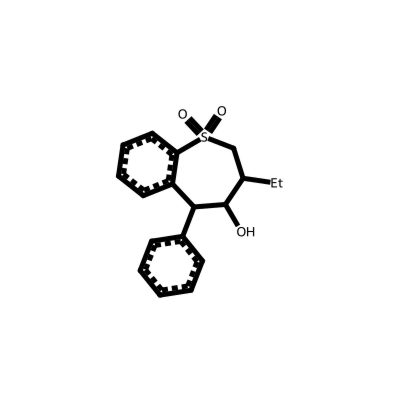 CCC1CS(=O)(=O)c2ccccc2C(c2ccccc2)C1O